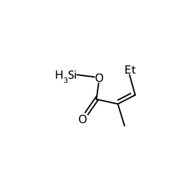 CCC=C(C)C(=O)O[SiH3]